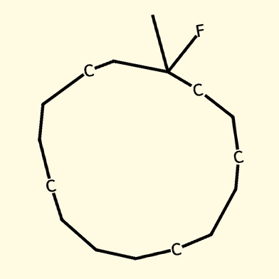 CC1(F)CCCCCCCCCCCCCC1